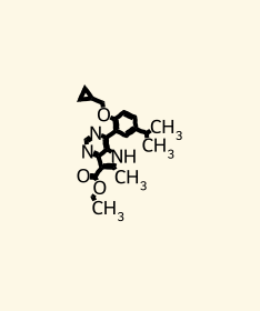 CCOC(=O)c1c(C)[nH]c2c(-c3cc(C(C)C)ccc3OCC3CC3)ncnc12